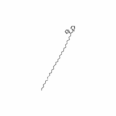 CCCCCCCCCCCCCCCCCCCCCCCCCCCCCCCC(=Cn1cccc1)n1cccc1